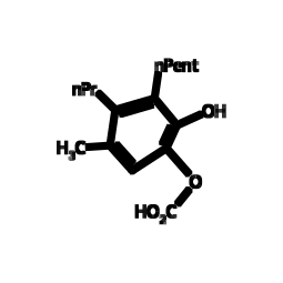 CCCCCc1c(O)c(OC(=O)O)cc(C)c1CCC